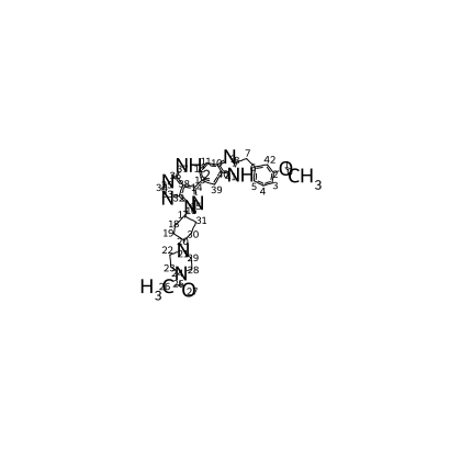 COc1cccc(Cc2nc3ccc(-c4nn(C5CCC(N6CCN(C(C)=O)CC6)CC5)c5ncnc(N)c45)cc3[nH]2)c1